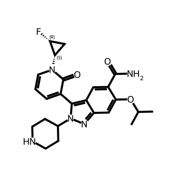 CC(C)Oc1cc2nn(C3CCNCC3)c(-c3cccn([C@H]4C[C@H]4F)c3=O)c2cc1C(N)=O